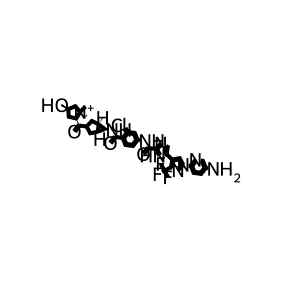 C[N+]1(C)C[C@H](O)C[C@H]1C(=O)C1C[C@@H]2[C@H](C1)[C@H]2NC(=O)c1ccc(NC(=O)c2ncc(-c3cn(-c4ccc(N)cn4)nc3C(F)(F)F)[nH]2)cc1Cl